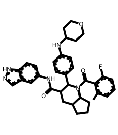 Cc1cccc(F)c1C(=O)N1C2CCCC2CC(C(=O)Nc2ccc3[nH]ncc3c2)C1c1ccc(NC2CCOCC2)cc1